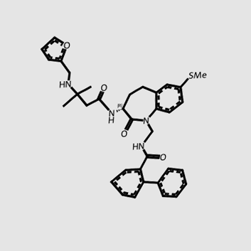 CSc1ccc2c(c1)CC[C@@H](NC(=O)CC(C)(C)NCc1ccco1)C(=O)N2CNC(=O)c1ccccc1-c1ccccc1